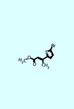 COC(=O)/C=C(\C)c1ccc(Br)s1